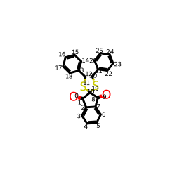 O=C1c2ccccc2C(=O)C1(SCc1ccccc1)SCc1ccccc1